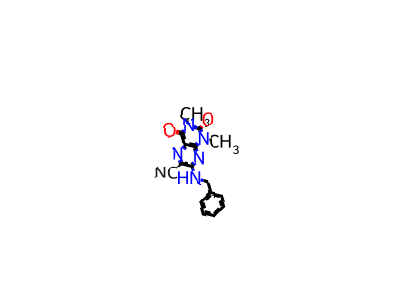 Cn1c(=O)c2nc(C#N)c(NCc3ccccc3)nc2n(C)c1=O